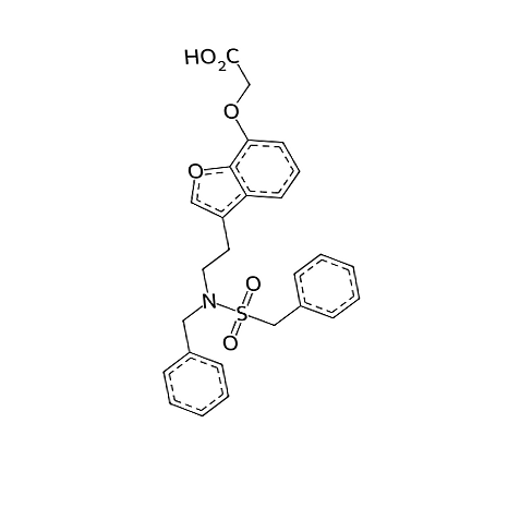 O=C(O)COc1cccc2c(CCN(Cc3ccccc3)S(=O)(=O)Cc3ccccc3)coc12